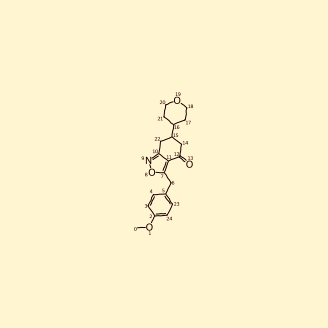 COc1ccc(Cc2onc3c2C(=O)CC(C2CCOCC2)C3)cc1